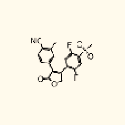 Cc1cc(C2=C(c3cc(F)c(S(C)(=O)=O)cc3F)COC2=O)ccc1C#N